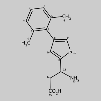 Cc1cccc(C)c1-c1csc(C(N)CC(=O)O)c1